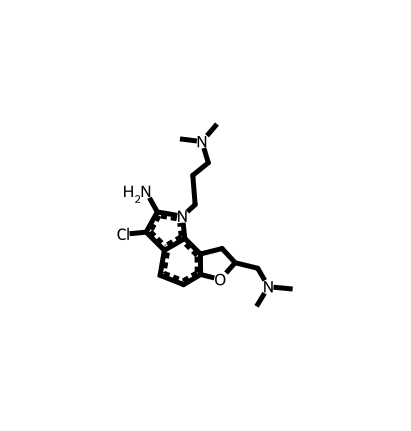 CN(C)CCCn1c(N)c(Cl)c2ccc3c(c21)CC(CN(C)C)O3